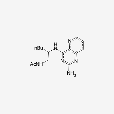 CCCCC(CNC(C)=O)Nc1nc(N)nc2cccnc12